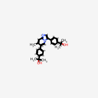 Cc1cc2ncc(-c3ccc(C(C)(C)O)cc3)n2cc1-c1ccc(C(C)(C)O)cc1